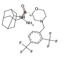 NC(=O)C12CC3CC(C1)C(NC(=O)[C@H]1CN(Cc4ccc(C(F)(F)F)cc4C(F)(F)F)CCO1)C(C3)C2